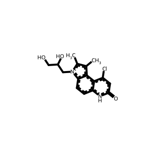 Cc1c(C)n(CC(O)CO)c2ccc3[nH]c(=O)cc(Cl)c3c12